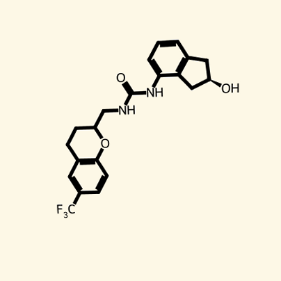 O=C(NCC1CCc2cc(C(F)(F)F)ccc2O1)Nc1cccc2c1C[C@H](O)C2